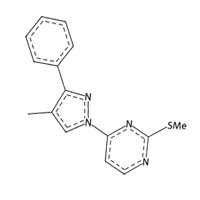 CSc1nccc(-n2cc(C)c(-c3ccccc3)n2)n1